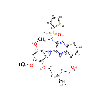 COc1cc(OC)c2c(c1OCCN(C)CCO)N2c1nc2ccccc2nc1NS(=O)(=O)c1cccs1